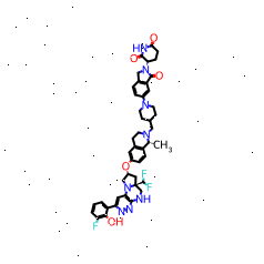 C[C@@H]1c2ccc(O[C@H]3CN4c5cc(-c6cccc(F)c6O)nnc5NC[C@@]4(C(F)F)C3)cc2CCN1CC1CCN(c2ccc3c(c2)C(=O)N([C@H]2CCC(=O)NC2=O)C3)CC1